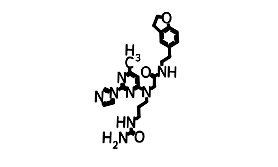 Cc1cc(N(CCCNC(N)=O)CC(=O)NCCc2ccc3c(c2)CCO3)nc(-n2ccnc2)n1